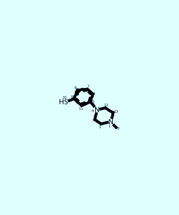 CN1CCN(c2cccc(S)c2)CC1